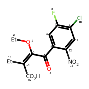 CCO/C(C(=O)c1cc(F)c(Cl)cc1[N+](=O)[O-])=C(\CC)C(=O)O